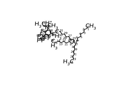 CCCCCCC[CH2][Al-]([CH2]CCCCCCC)([CH2]CCCCCCC)[CH2]CCCCCCC.CC[NH+](C)c1cc(F)c(F)c(C(F)(F)C(F)(F)F)c1F